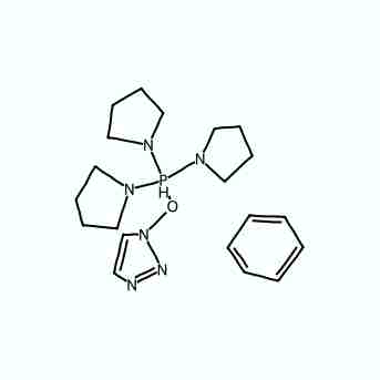 c1ccccc1.c1cn(O[PH](N2CCCC2)(N2CCCC2)N2CCCC2)nn1